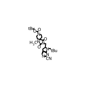 CN1C(=O)N(CC2Cc3cnc(C#N)nc3N2CC(C)(C)C)C(=O)C12CCN(C(=O)OC(C)(C)C)CC2